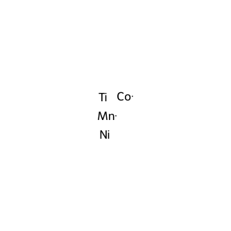 [Co].[Mn].[Ni].[Ti]